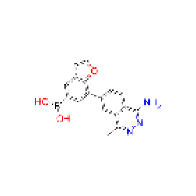 Cc1nnc(N)c2ccc(-c3cc(B(O)O)cc4ccoc34)cc12